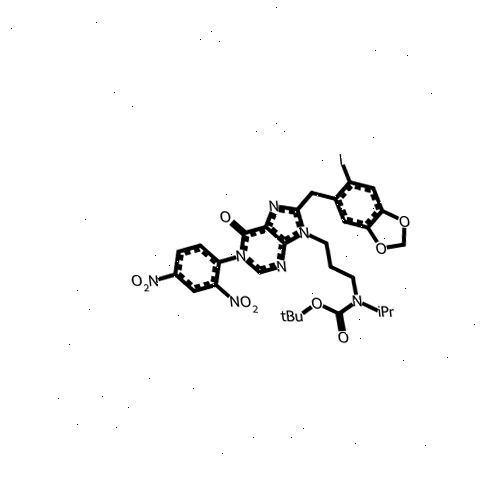 CC(C)N(CCCn1c(Cc2cc3c(cc2I)OCO3)nc2c(=O)n(-c3ccc([N+](=O)[O-])cc3[N+](=O)[O-])cnc21)C(=O)OC(C)(C)C